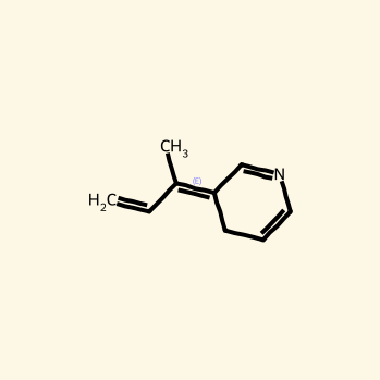 C=C/C(C)=C1/C=NC=CC1